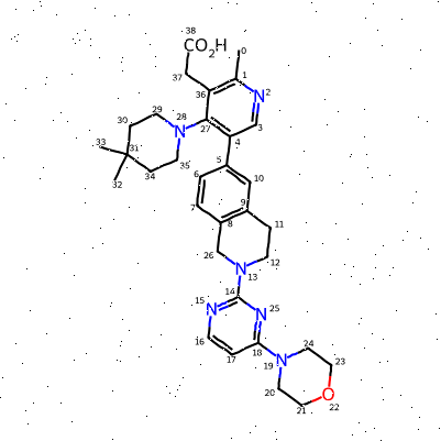 Cc1ncc(-c2ccc3c(c2)CCN(c2nccc(N4CCOCC4)n2)C3)c(N2CCC(C)(C)CC2)c1CC(=O)O